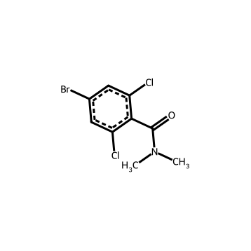 CN(C)C(=O)c1c(Cl)cc(Br)cc1Cl